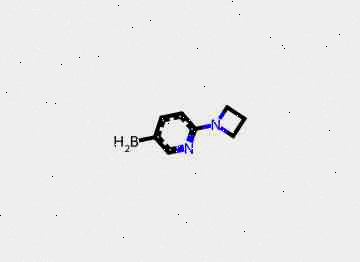 Bc1ccc(N2CCC2)nc1